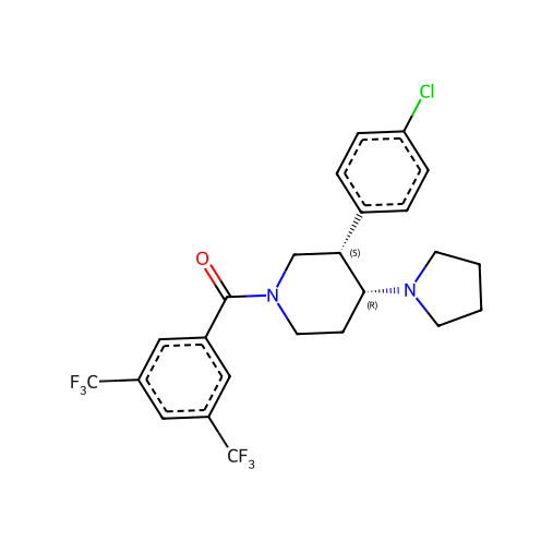 O=C(c1cc(C(F)(F)F)cc(C(F)(F)F)c1)N1CC[C@@H](N2CCCC2)[C@@H](c2ccc(Cl)cc2)C1